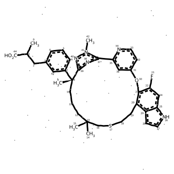 CC(Cc1cccc([C@@]2(C)CCCC(C)(C)CSCCc3c(c(F)cc4[nH]ccc34)Oc3ccnc(c3)-c3nc2nn3C)c1)C(=O)O